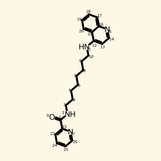 O=C(NCCCCCCCCNc1ccnc2ccccc12)c1ccccn1